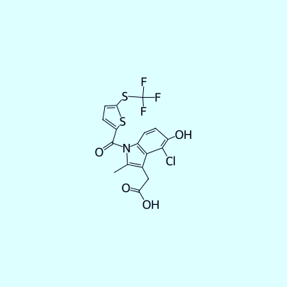 Cc1c(CC(=O)O)c2c(Cl)c(O)ccc2n1C(=O)c1ccc(SC(F)(F)F)s1